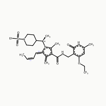 C=c1c(C(=O)NCc2c(OCC(F)(F)F)cc(C)[nH]c2=O)c(C)n([C@H](C)C2CCN(S(=O)(=O)CC)CC2)/c1=C/C=C\C